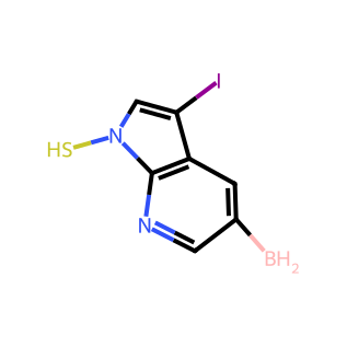 Bc1cnc2c(c1)c(I)cn2S